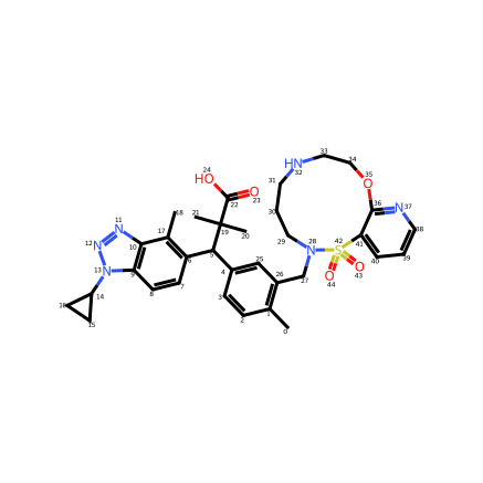 Cc1ccc(C(c2ccc3c(nnn3C3CC3)c2C)C(C)(C)C(=O)O)cc1CN1CCCNCCOc2ncccc2S1(=O)=O